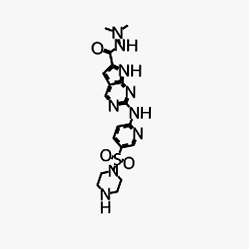 CN(C)NC(=O)c1cc2cnc(Nc3ccc(S(=O)(=O)N4CCNCC4)cn3)nc2[nH]1